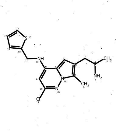 Cc1c(CC(C)N)cc2c(NCc3cccs3)cc(Cl)nn12